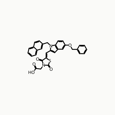 O=C(O)CN1C(=O)SC(=Cc2cc3cc(OCc4ccccc4)ccc3n2Cc2ccc3ccccc3c2)C1=O